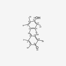 CC1=C(C)C(=Cc2c(C)c(C)c(O)c(C)c2C)C(C)=C(C)C1=O